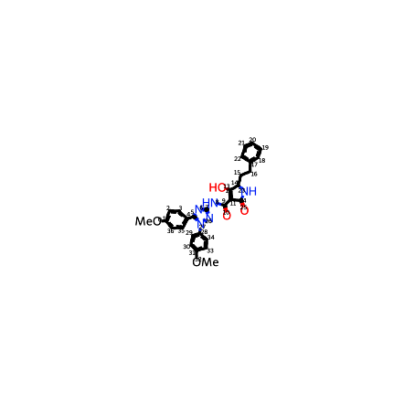 COc1ccc(-c2nc(NC(=O)C3=C(O)C(CCc4ccccc4)NC3=O)nn2-c2ccc(OC)cc2)cc1